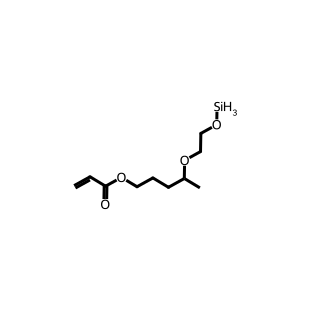 C=CC(=O)OCCCC(C)OCCO[SiH3]